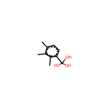 Cc1ccc(C(O)(O)O)c(C)c1C